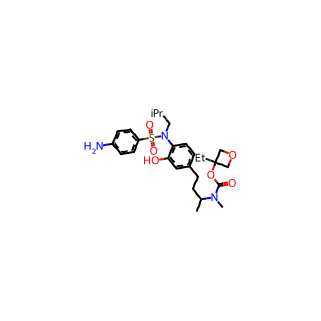 CCC1(OC(=O)N(C)C(C)CCc2ccc(N(CC(C)C)S(=O)(=O)c3ccc(N)cc3)c(O)c2)COC1